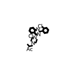 CC(=O)C(C)CN1CCN(c2nc(-c3ccccc3Cl)nc3cccc(Cl)c23)CC1